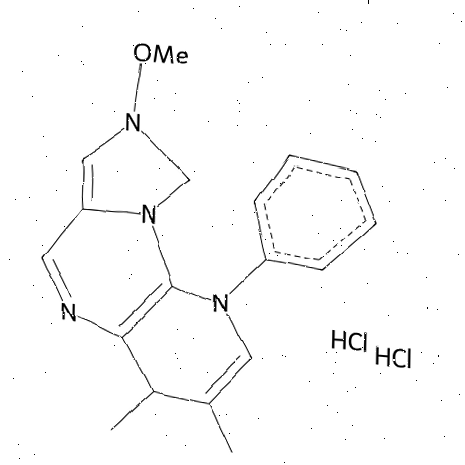 CON1C=C2C=NC3=C(N2C1)N(c1ccccc1)C=C(C)C3C.Cl.Cl